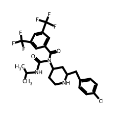 CC(C)NC(=O)N(C(=O)c1cc(C(F)(F)F)cc(C(F)(F)F)c1)C1CCNC(Cc2ccc(Cl)cc2)C1